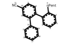 CCCCCc1ccccc1-c1ccc(C#N)cc1-c1ccccc1